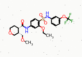 CCOc1cc(NC(=O)[C@H]2CCOC[C@H]2COC)ccc1S(=O)(=O)Nc1cccc(OC(F)(F)F)c1